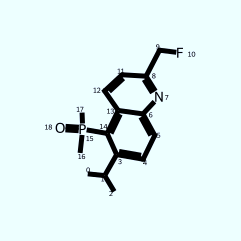 CC(C)c1ccc2nc(CF)ccc2c1P(C)(C)=O